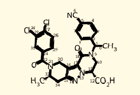 CC(c1ccc(C#N)cc1)N1C[C@@H](C(=O)O)n2nc3c(c2C1=O)CN(C(=O)c1ccc(Cl)c(Cl)c1)[C@H](C)C3